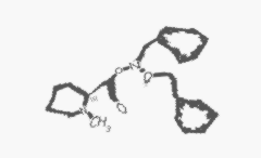 CN1CCCC[C@H]1C(=O)ON(Cc1ccccc1)OCc1ccccc1